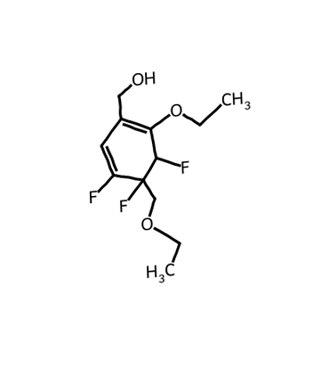 CCOCC1(F)C(F)=CC(CO)=C(OCC)C1F